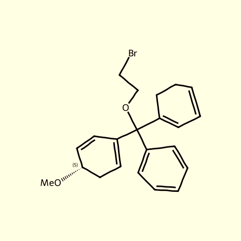 CO[C@@H]1C=CC(C(OCCBr)(C2=CC=CCC2)c2ccccc2)=CC1